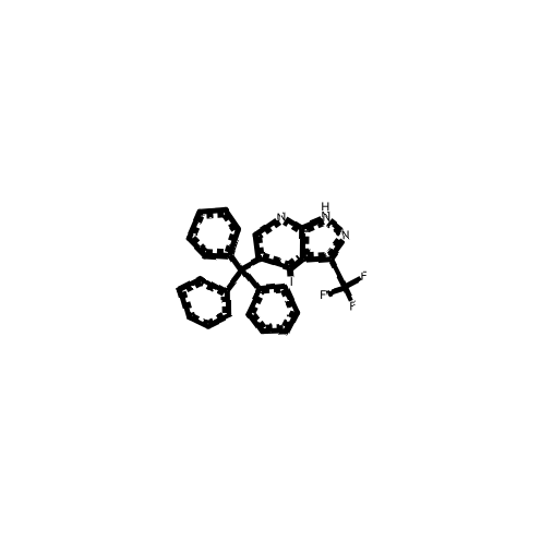 FC(F)(F)c1n[nH]c2ncc(C(c3ccccc3)(c3ccccc3)c3ccccc3)c(I)c12